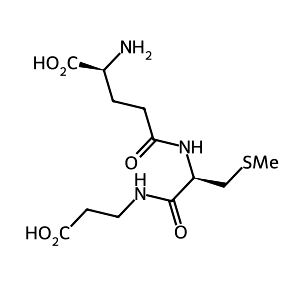 CSC[C@H](NC(=O)CC[C@H](N)C(=O)O)C(=O)NCCC(=O)O